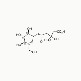 O=C(O)CC(O)(CC(=O)OC1O[C@H](CO)[C@@H](O)[C@H](O)[C@H]1O)C(=O)O